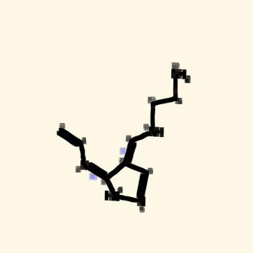 C=C/N=C1/NN=C/C1=C\NCCN